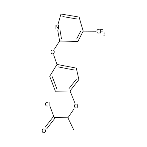 CC(Oc1ccc(Oc2cc(C(F)(F)F)ccn2)cc1)C(=O)Cl